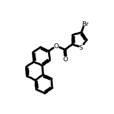 O=C(Oc1ccc2ccc3ccccc3c2c1)c1cc(Br)cs1